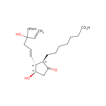 C=CC(O)(CC=C[C@H]1[C@H](O)CC(=O)[C@@H]1CCCCCCC(=O)O)CCCCC